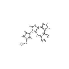 CN1Cc2c(-c3nc(CN)no3)ncn2-c2ccsc2C1=O